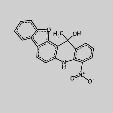 CC1(O)c2cccc([N+](=O)[O-])c2Nc2ccc3c(oc4ccccc43)c21